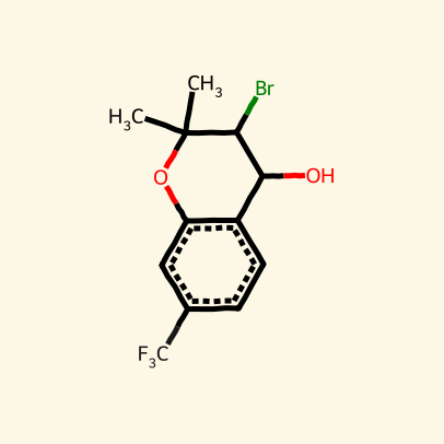 CC1(C)Oc2cc(C(F)(F)F)ccc2C(O)C1Br